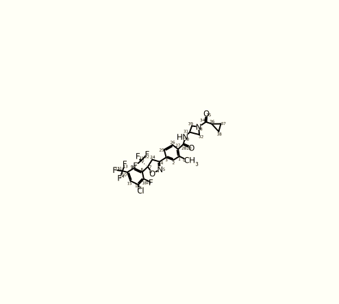 Cc1cc(C2=NO[C@](c3cc(C(F)(F)F)cc(Cl)c3F)(C(F)(F)F)C2)ccc1C(=O)NC1CN(C(=O)C2CC2)C1